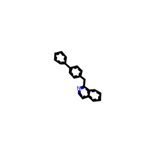 c1ccc(-c2ccc(Cc3nccc4ccccc34)cc2)cc1